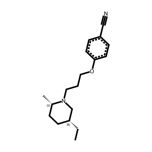 CC[C@@H]1CC[C@H](C)N(CCCOc2ccc(C#N)cc2)C1